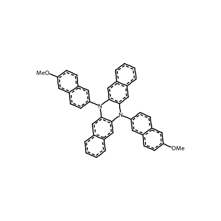 COc1ccc2cc(N3c4cc5ccccc5cc4N(c4ccc5cc(OC)ccc5c4)c4cc5ccccc5cc43)ccc2c1